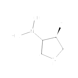 CN(C)C1CNC[C@@H]1F